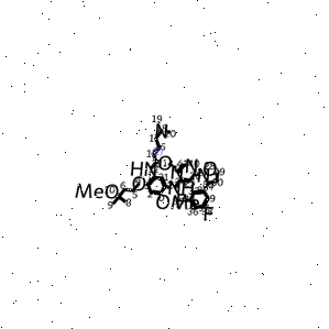 COc1cc(OCCC(C)(C)OC)c(NC(=O)/C=C/CN(C)C)cc1Nc1cc(N2OCC[C@@H]2c2cc(F)cc(F)c2)ncn1